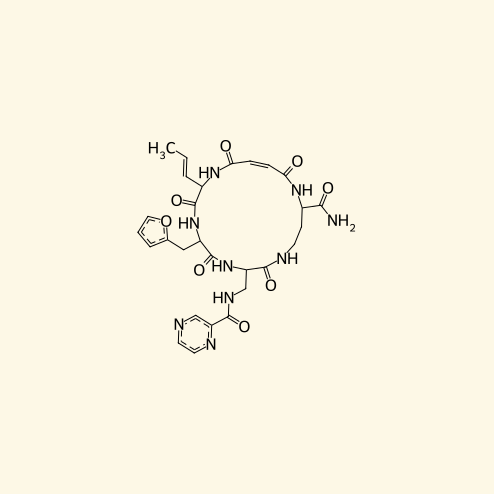 C/C=C/C1NC(=O)C=CC(=O)NC(C(N)=O)CCNC(=O)C(CNC(=O)c2cnccn2)NC(=O)C(Cc2ccco2)NC1=O